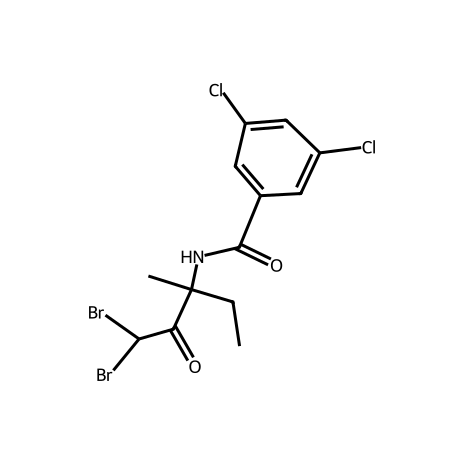 CCC(C)(NC(=O)c1cc(Cl)cc(Cl)c1)C(=O)C(Br)Br